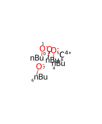 CCCC[O-].CCCC[O-].CCCC[O-].CCCC[O-].[C+4]